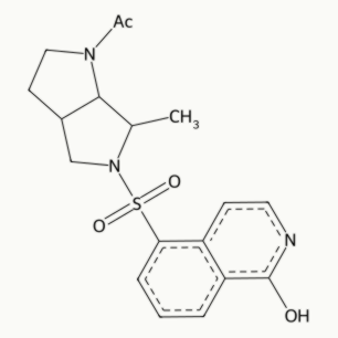 CC(=O)N1CCC2CN(S(=O)(=O)c3cccc4c(O)nccc34)C(C)C21